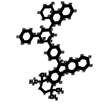 CC1(C)CCC(C)(C)c2cc3c(cc21)c1cc2ccccc2cc1n3-c1ccc(C2=NC(c3cc4cccnc4c4c3CCC=N4)=NC(c3ccccc3)N2)cc1